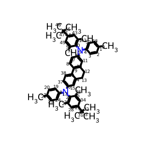 Cc1ccc(N(c2ccc3c(c2)CCc2cc(N(c4ccc(C)cc4)c4c(C)cc(C(C)(C)C)cc4C)ccc2-3)c2c(C)cc(C(C)(C)C)cc2C)cc1